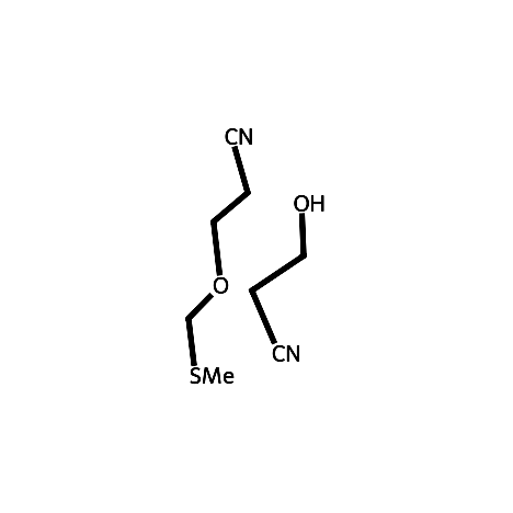 CSCOCCC#N.N#CCCO